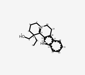 CC[C@@]1(CO)CCC[N+]2=C1c1[nH]c3ccccc3c1CC2